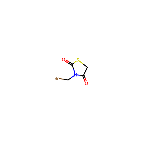 O=C1CSC(=O)N1CBr